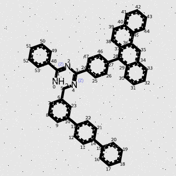 N/C(=N\C(=N/Cc1cccc(-c2ccc(-c3ccccc3)cc2)c1)c1ccc(-c2c3ccccc3cc3c2ccc2ccccc23)cc1)c1ccccc1